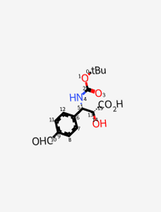 CC(C)(C)OC(=O)N[C@@H](c1ccc(C=O)cc1)[C@@H](O)C(=O)O